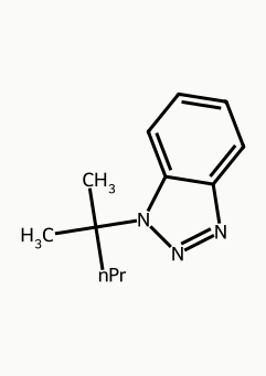 CCCC(C)(C)n1nnc2ccccc21